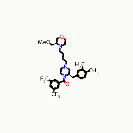 COC[C@H]1COCCN1CCCCN1CCN(C(=O)c2cc(C(F)(F)F)cc(C(F)(F)F)c2)[C@H](Cc2ccc(C)c(C)c2)C1